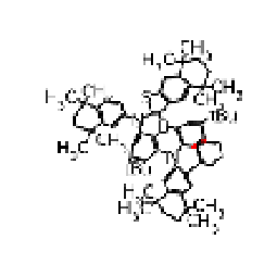 CC(C)(C)c1c#cc2c(c1)B1c3c(cc(C(C)(C)C)cc3N(c3ccc4c(c3)C(C)(C)CCC4(C)C)c3sc4cc5c(cc4c31)C(C)(C)CCC5(C)C)N2c1cc2c(cc1C1=CC=CCC1)C(C)(C)CCC2(C)C